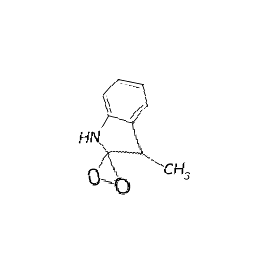 CC1c2ccccc2NC12OO2